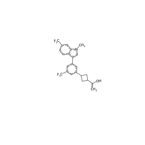 C=C(O)C1CC(c2cc(-c3cn(C)c4cc(C(F)(F)F)ccc34)cc(C(F)(F)F)c2)C1